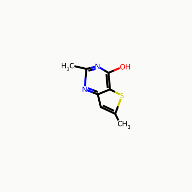 Cc1nc(O)c2sc(C)cc2n1